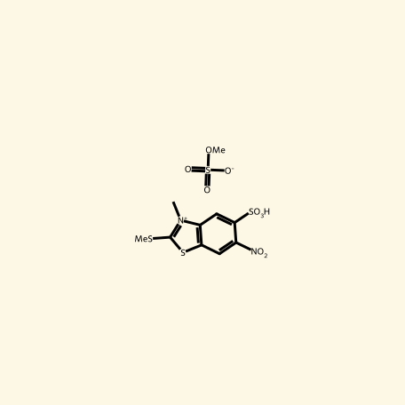 COS(=O)(=O)[O-].CSc1sc2cc([N+](=O)[O-])c(S(=O)(=O)O)cc2[n+]1C